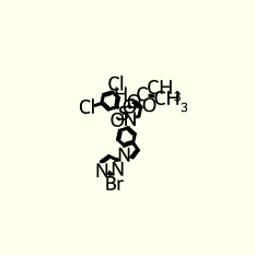 CC(C)(C)OC(=O)CN(c1ccc2c(ccn2-c2ccnc(Br)n2)c1)S(=O)(=O)c1cc(Cl)cc(Cl)c1